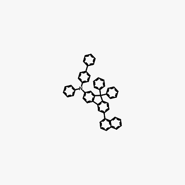 c1ccc(-c2ccc(N(c3ccccc3)c3ccc4c(c3)C(c3ccccc3)(c3ccccc3)c3ccc(-c5cccc6ccccc56)cc3-4)cc2)cc1